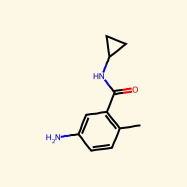 Cc1ccc(N)cc1C(=O)NC1CC1